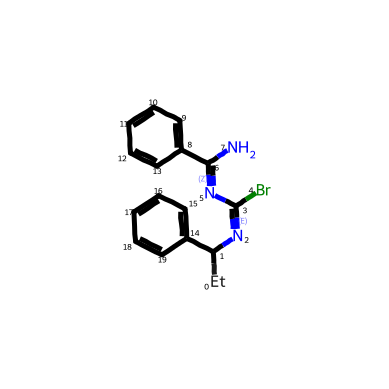 CCC(/N=C(Br)\N=C(/N)c1ccccc1)c1ccccc1